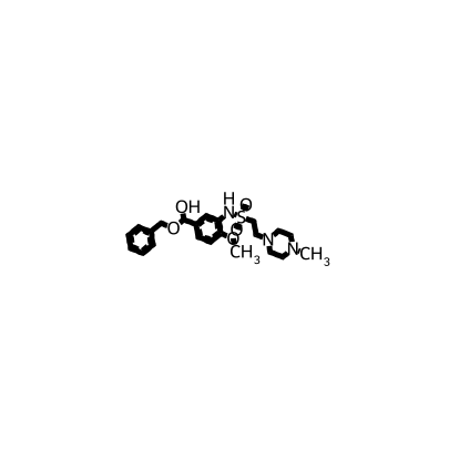 COc1ccc(C(O)OCc2ccccc2)cc1NS(=O)(=O)CCN1CCN(C)CC1